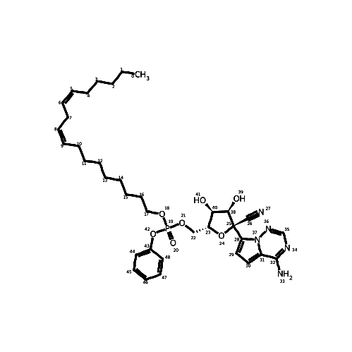 CCCCC/C=C\C/C=C\CCCCCCCCOP(=O)(OC[C@H]1O[C@@](C#N)(c2ccc3c(N)ncnn23)[C@H](O)[C@@H]1O)Oc1ccccc1